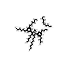 CCCCCCCCC1=C(c2cc(CCCC)cc(CCCC)c2)[N+](=[N-])C(c2cc(CCCCCC)cc(CCCCCC)c2)=C1CCCCC.CCC[CH2][Ni][CH2]CCC